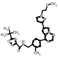 COCCn1ccc(-c2cc3c(-c4ccc(CNC(=O)c5noc(C(C)(C)C)n5)c(C)c4)ncnn3c2)n1